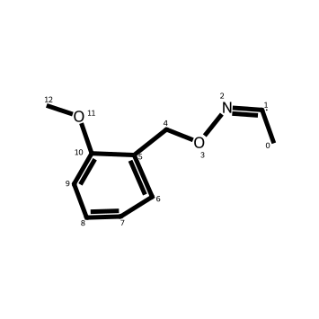 C/[C]=N\OCc1ccccc1OC